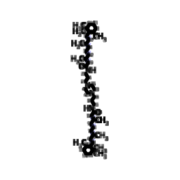 CC1=C(/C=C/C(C)=C/C=C/C(C)=C/C(=O)NCCCN2CCN(CCCNC(=O)/C=C(C)/C=C/C=C(C)/C=C/C3=C(C)CCCC3(C)C)CC2)C(C)(C)CCC1